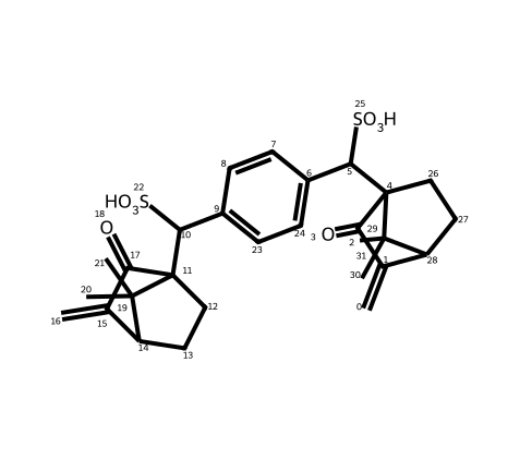 C=C1C(=O)C2(C(c3ccc(C(C45CCC(C(=C)C4=O)C5(C)C)S(=O)(=O)O)cc3)S(=O)(=O)O)CCC1C2(C)C